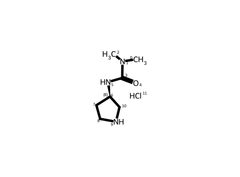 CN(C)C(=O)N[C@@H]1CCNC1.Cl